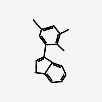 Cc1cc(C)c(C)c(C2=C[CH]c3ccccc32)c1